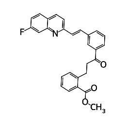 COC(=O)c1ccccc1CCC(=O)c1cccc(/C=C/c2ccc3ccc(F)cc3n2)c1